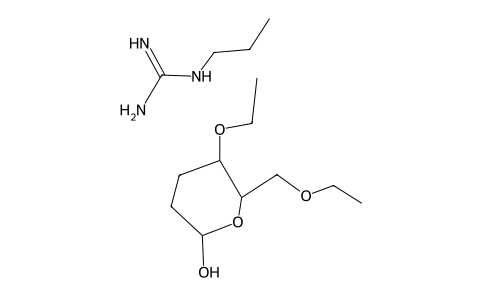 CCCNC(=N)N.CCOCC1OC(O)CCC1OCC